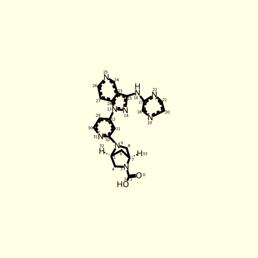 O=C(O)N1C[C@@H]2C[C@H]1CN2c1cc(-n2nc(Nc3cnccn3)c3cnccc32)ccn1